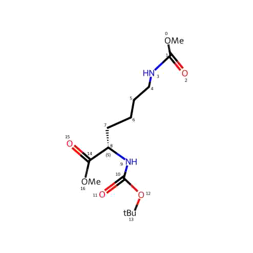 COC(=O)NCCCC[C@H](NC(=O)OC(C)(C)C)C(=O)OC